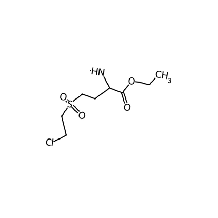 CCOC(=O)C([NH])CCS(=O)(=O)CCCl